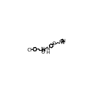 Clc1ccc(/C=C/c2nc(CNc3ccc(OCCCn4ccnn4)cc3)co2)cc1